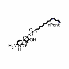 CCCCC/C=C\C/C=C\CCCCCCCCOC(=O)OC[C@H]1O[C@@H](N2C=CC(N)NC2=O)[C@@H](F)[C@@H]1O